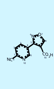 N#Cc1ccc(-c2nocc2C(=O)O)cn1